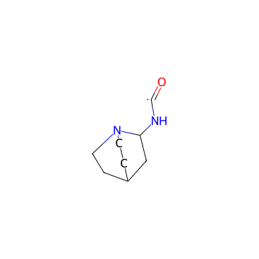 O=[C]NC1CC2CCN1CC2